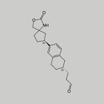 O=CCC[C@@H]1CCc2cc([C@H]3CCC4(COC(=O)N4)C3)ccc2C1